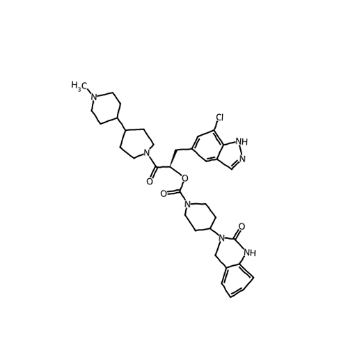 CN1CCC(C2CCN(C(=O)[C@@H](Cc3cc(Cl)c4[nH]ncc4c3)OC(=O)N3CCC(N4Cc5ccccc5NC4=O)CC3)CC2)CC1